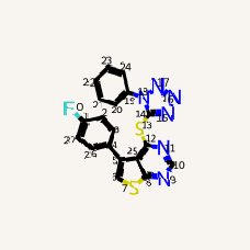 Fc1ccc(-c2csc3ncnc(Sc4nnnn4-c4ccccc4)c23)cc1